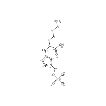 NCCCCC(Nc1cnn(COP(=O)(O)O)c1)C(=O)O